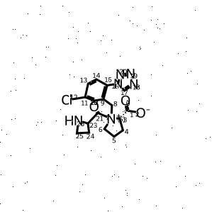 O=C([O-])[C@@H]1CCC[N+]1(Cc1cc(Cl)ccc1-n1cnnn1)C(=O)C1CCN1